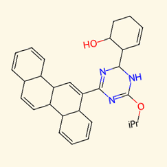 CC(C)OC1=NC(C2=CC3C4C=CC=CC4C=CC3C3C=CC=CC23)=NC(C2C=CCCC2O)N1